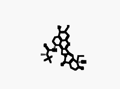 CC[C@@]1(O)C(=O)CCc2c1cc1n(c2=O)Cc2c-1nc1cc(F)c(Br)c3c1c2[C@H](NC(=O)[C@@H](C)C(C)(C)C)CC3